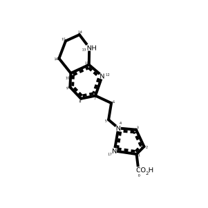 O=C(O)c1ccn(CCc2ccc3c(n2)NCCC3)n1